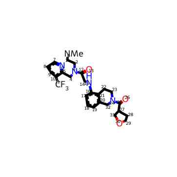 CNCCN(Cc1ncccc1C(F)(F)F)C(=O)CNc1cccc2c1CCN(C(=O)C1CCOC1)C2